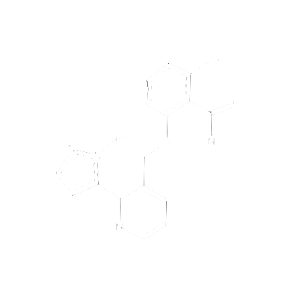 CC(C)n1nccc1C1NC=CC=C1COc1cccc(O)c1C(N)=O